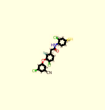 N#Cc1cc(Cl)cc(Oc2c(Cl)ccc(CC(=O)Nc3ccc(S)cc3Cl)c2F)c1